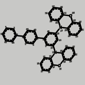 c1ccc(-c2ccc(-c3cc(N4c5ccccc5Oc5ccccc54)cc(N4c5ccccc5Oc5ccccc54)c3)cc2)cc1